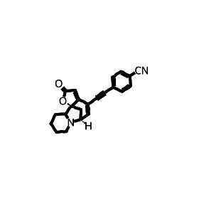 N#Cc1ccc(C#CC2=C[C@@H]3C[C@@]4(OC(=O)C=C24)C2CCCCN23)cc1